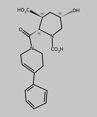 O=C(O)[C@H]1C[C@H](O)CN(C(=O)O)[C@@H]1C(=O)N1CC=C(c2ccccc2)CC1